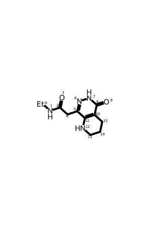 CCNC(=O)Cc1n[nH]c(=O)c2c1NCCC2